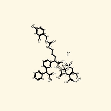 O=C(NCCCC(C(=O)N[C@H]1C(=O)N2C(C(=O)[O-])=C(CO)CS(=O)(=O)[C@@H]12)c1cccc(C(C(=O)O)c2ccccc2)c1)OCc1ccc(Cl)cc1Cl.[K+]